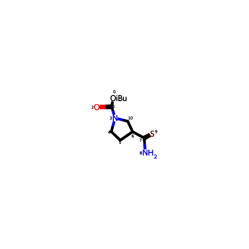 CC(C)COC(=O)N1CCC(C(N)=S)C1